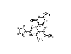 COC(=O)C1=C(C)NC(c2nccs2)=N[C@H]1c1ccc(C)cc1Cl